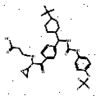 CC(C)(C)C1CCC(C(NC(=O)Nc2ccc(OC(F)(F)F)cc2)c2ccc(C(=O)C(NCCC(=O)O)C3CC3)cc2)CC1